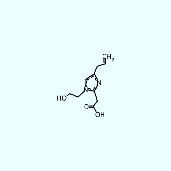 C=CCc1cn(CCO)c(CC(=O)O)n1